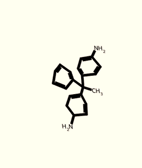 CC(C1=CCC(N)C=C1)(c1ccccc1)c1ccc(N)cc1